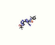 CC(N=S(C)(=O)N1CC(CC#N)(n2cc(-c3ncnc4c3ccn4C(=O)C(C)(C)C)cn2)C1)c1ccccc1